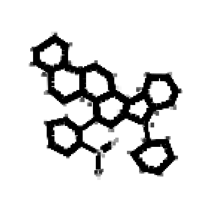 O=[N+]([O-])c1ccccc1-c1cc2c(c3ccc4c5ccccc5ccc4c13)c1ccccc1n2-c1ccccc1